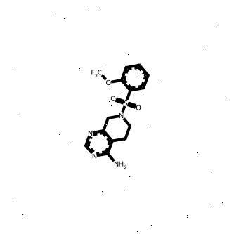 Nc1ncnc2c1CCN(S(=O)(=O)c1ccccc1OC(F)(F)F)C2